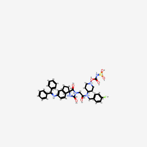 O=C(N=S(=O)=O)ON1CCC(N(Cc2ccc(F)cc2)C(=O)CN2C(=O)NC3(CCc4cc(N=C(c5ccccc5)c5ccccc5)ccc43)C2=O)CC1